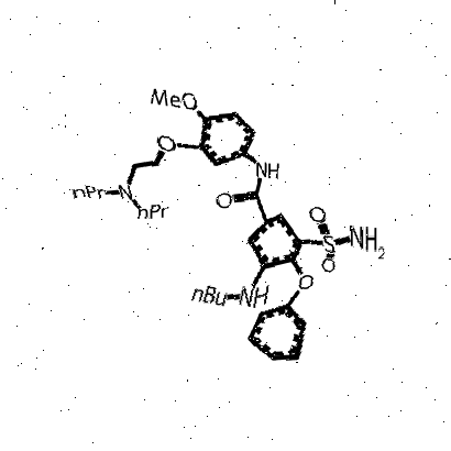 CCCCNc1cc(C(=O)Nc2ccc(OC)c(OCCN(CCC)CCC)c2)cc(S(N)(=O)=O)c1Oc1ccccc1